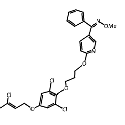 CON=C(c1ccccc1)c1ccc(OCCCOc2c(Cl)cc(OCC=C(Cl)Cl)cc2Cl)nc1